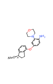 CO[C@@H]1CCc2c(Oc3ccc(N)c(N4CCOCC4)c3)cccc21